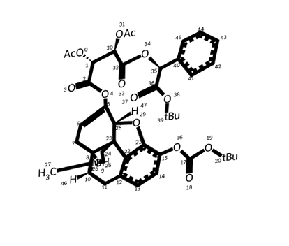 CC(=O)O[C@@H](C(=O)OC1=CC[C@@]2(O)[C@H]3Cc4ccc(OC(=O)OC(C)(C)C)c5c4[C@@]2(CCN3C)[C@H]1O5)[C@@H](OC(C)=O)C(=O)O[C@H](C(=O)OC(C)(C)C)c1ccccc1